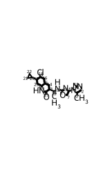 Cc1cnnn1-c1coc(N[C@@H](C)c2cc3cc(Cl)c(C4CC4)cc3[nH]c2=O)n1